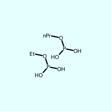 CCCOP(O)O.CCOP(O)O